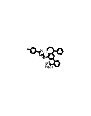 Cc1ccc(-c2noc(Nc3cc(-c4ccccc4-c4nnn[nH]4)cc4c3OCCCC4c3ccccc3)n2)cc1